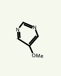 COc1[c]ncnc1